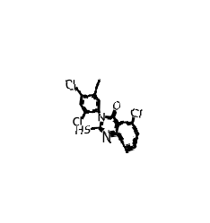 Cc1cc(-n2c(S)nc3cccc(Cl)c3c2=O)c(Cl)cc1Cl